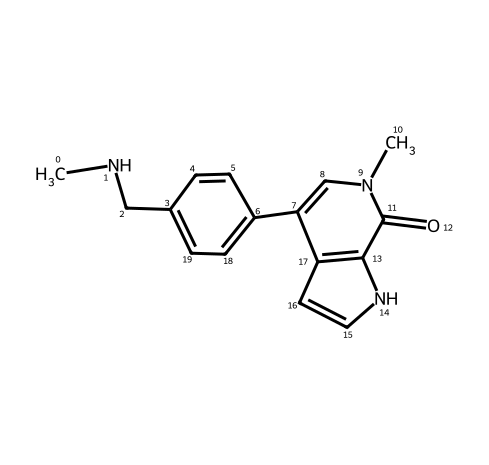 CNCc1ccc(-c2cn(C)c(=O)c3[nH]ccc23)cc1